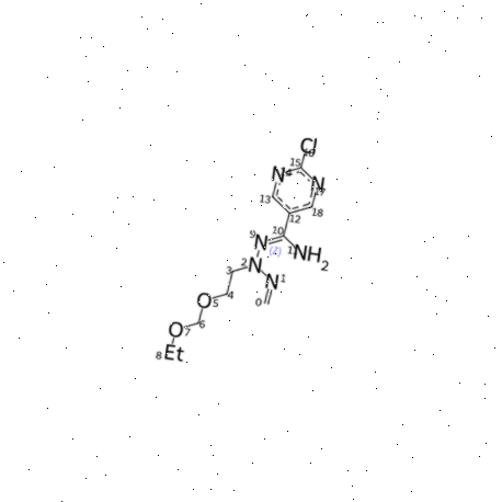 C=NN(CCOCOCC)/N=C(\N)c1cnc(Cl)nc1